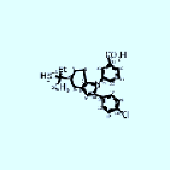 CCC(C)(C)C1CCc2c(cc(-c3ccc(Cl)cc3)n2-c2cccc(C(=O)O)c2)C1